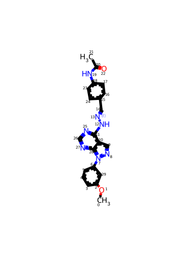 COc1cccc(-n2ncc3c(N/N=C/c4ccc(NC(C)=O)cc4)ncnc32)c1